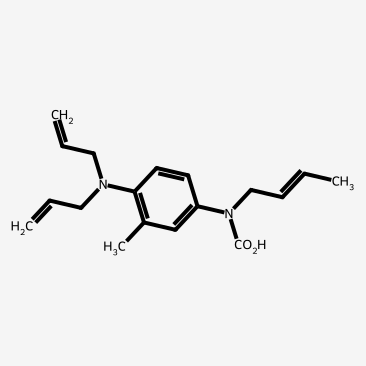 C=CCN(CC=C)c1ccc(N(CC=CC)C(=O)O)cc1C